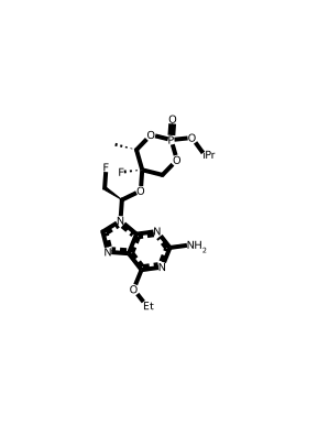 CCOc1nc(N)nc2c1ncn2[C@@H](CF)O[C@]1(F)COP(=O)(OC(C)C)O[C@H]1C